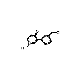 Cn1ccc(=O)c(-c2cccc(CCl)c2)c1